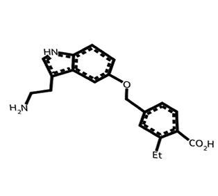 CCc1cc(COc2ccc3[nH]cc(CCN)c3c2)ccc1C(=O)O